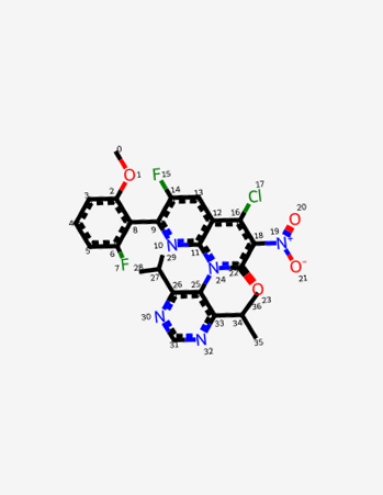 COc1cccc(F)c1-c1nc2c(cc1F)c(Cl)c([N+](=O)[O-])c(=O)n2-c1c(C(C)C)ncnc1C(C)C